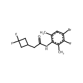 Cc1cc(Br)c(F)c(C)c1NC(=O)CC1CC(F)(F)C1